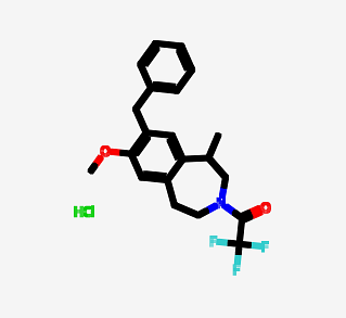 COc1cc2c(cc1Cc1ccccc1)C(C)CN(C(=O)C(F)(F)F)CC2.Cl